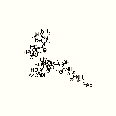 CC(=O)OP(=O)(O)O.CC(=O)SCCNC(=O)CCNC(=O)[C@H](O)C(C)(C)COP(=O)(O)OP(=O)(O)OC[C@H]1O[C@@H](n2cnc3c(N)ncnc32)[C@H](O)[C@@H]1OP(=O)(O)O